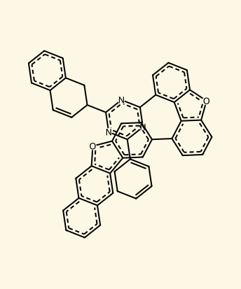 C1=CCCC(c2nc(-c3cccc4oc5cccc(-c6ccc7oc8cc9ccccc9cc8c7c6)c5c34)nc(C3C=Cc4ccccc4C3)n2)=C1